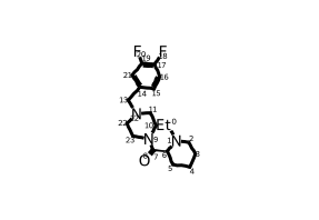 CCN1CCCC[C@H]1C(=O)N1CCN(Cc2ccc(F)c(F)c2)CC1